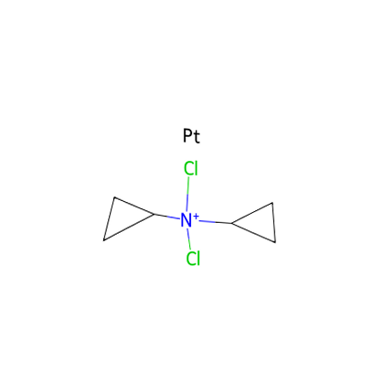 Cl[N+](Cl)(C1CC1)C1CC1.[Pt]